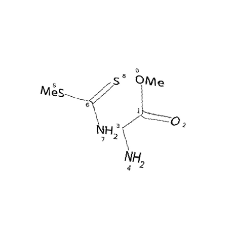 COC(=O)CN.CSC(N)=S